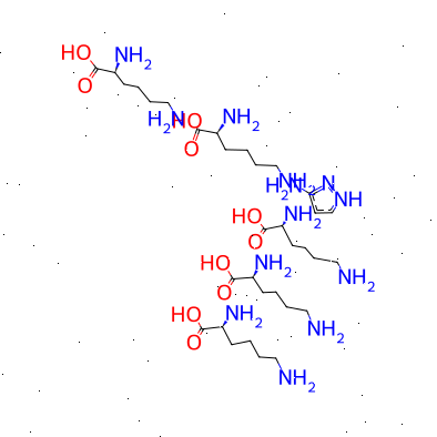 NCCCC[C@H](N)C(=O)O.NCCCC[C@H](N)C(=O)O.NCCCC[C@H](N)C(=O)O.NCCCC[C@H](N)C(=O)O.NCCCC[C@H](N)C(=O)O.Nc1cc[nH]n1